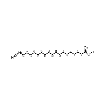 COC(=O)CCCCCCCCCCCCCCCCCN=[N+]=[N-]